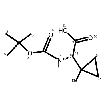 CC(C)(C)OC(=O)N[C@H](C(=O)O)C1(C)CC1